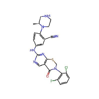 C[C@H]1CNCCN1c1ccc(Nc2ncc3c(n2)SCN(c2c(F)cccc2Cl)C3=O)cc1C#N